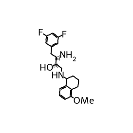 COc1cccc2c1CCCC2NC[C@@H](O)[C@@H](N)Cc1cc(F)cc(F)c1